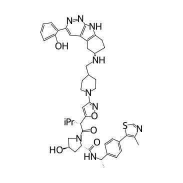 Cc1ncsc1-c1ccc([C@H](C)NC(=O)[C@@H]2C[C@@H](O)CN2C(=O)[C@@H](c2cc(N3CCC(CN[C@@H]4CCc5[nH]c6nnc(-c7ccccc7O)cc6c5C4)CC3)no2)C(C)C)cc1